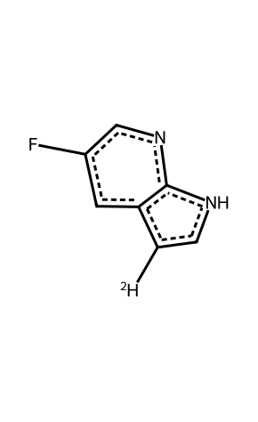 [2H]c1c[nH]c2ncc(F)cc12